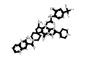 CC1CC2(CCN(C(=O)c3cc4ncccc4nc3N)CC2)c2c1n(CC(=O)Nc1ccc(C(F)(F)F)cc1Cl)c1nc(C3=CCOCC3)nn1c2=O